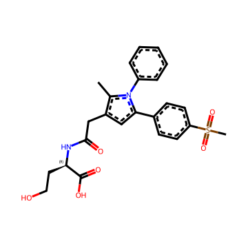 Cc1c(CC(=O)N[C@H](CCO)C(=O)O)cc(-c2ccc(S(C)(=O)=O)cc2)n1-c1ccccc1